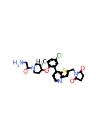 Cc1cc(Cl)cc(-c2ccnc3cc(CN4C(=O)CCC4=O)sc23)c1OC1CCN(C(=O)CN)CC1